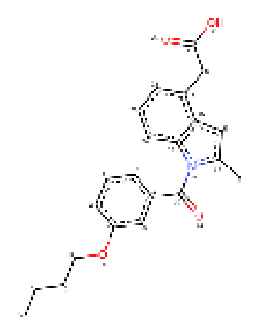 CCCCOc1cccc(C(=O)n2c(C)cc3c(CC(=O)O)cccc32)c1